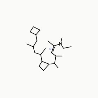 CCN(C)/C(C)=C\C(C)C(C)C1CCC1C(C)CC(C)CC1CCC1